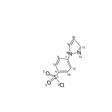 O=S(=O)(Cl)c1ccc(-n2cccn2)cc1